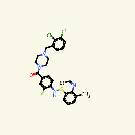 CC/C=N\c1c(C)cccc1SNc1ccc(C(=O)N2CCN(Cc3cccc(Cl)c3Cl)CC2)cc1F